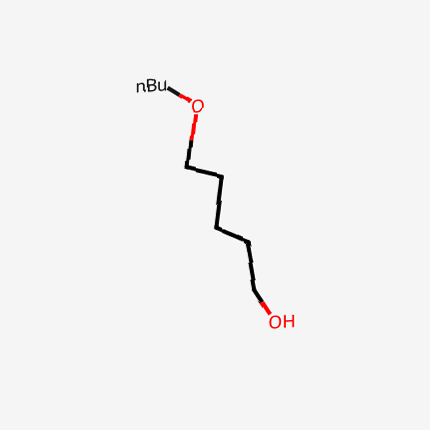 [CH2]CCCOCCCCCO